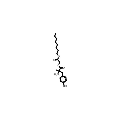 CCCCCCCCOC(=O)COC(=O)C(C)(N)Cc1ccc(O)cc1